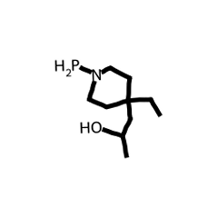 CCC1(CC(C)O)CCN(P)CC1